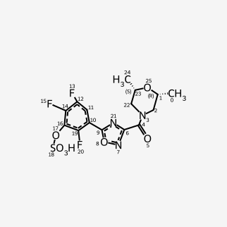 C[C@@H]1CN(C(=O)c2noc(-c3cc(F)c(F)c(OS(=O)(=O)O)c3F)n2)C[C@H](C)O1